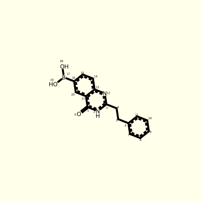 O=c1[nH]c(CCc2ccccc2)nc2ccc(B(O)O)cc12